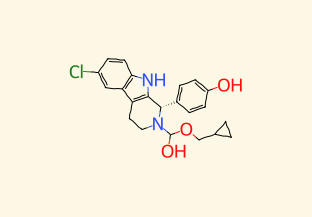 Oc1ccc([C@H]2c3[nH]c4ccc(Cl)cc4c3CCN2C(O)OCC2CC2)cc1